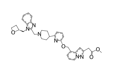 COC(=O)Cc1cc2c(COc3cccc(C4CCN(Cc5nc6ccccc6n5C[C@@H]5CCO5)CC4)n3)cccn2n1